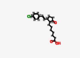 O=C(O)CCCCCCC1C(=O)CCC1/C=C/c1ccc(Cl)cc1